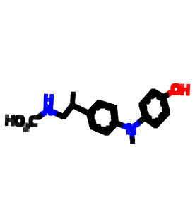 CC(CNC(=O)O)c1ccc(N(C)c2ccc(O)cc2)cc1